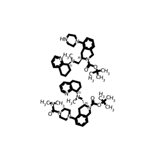 CN(C)C(=O)N1CCN(c2cccc3c2C[C@H](CN(C)[C@H]2CCCc4cccnc42)N(C(=O)OC(C)(C)C)C3)CC1.CN(C[C@H]1Cc2c(cccc2N2CCNCC2)CN1C(=O)OC(C)(C)C)[C@H]1CCCc2cccnc21